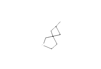 IC1CC2(CCNC2)C1